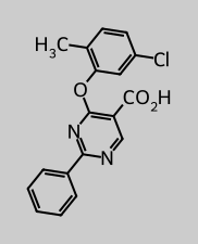 Cc1ccc(Cl)cc1Oc1nc(-c2ccccc2)ncc1C(=O)O